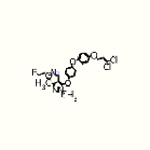 Cc1nn(C)c(Oc2ccc(Oc3ccc(OCC=C(Cl)Cl)cc3)cc2)c1/C=N\OCCF